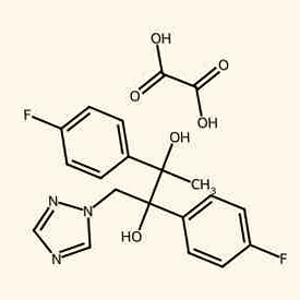 CC(O)(c1ccc(F)cc1)C(O)(Cn1cncn1)c1ccc(F)cc1.O=C(O)C(=O)O